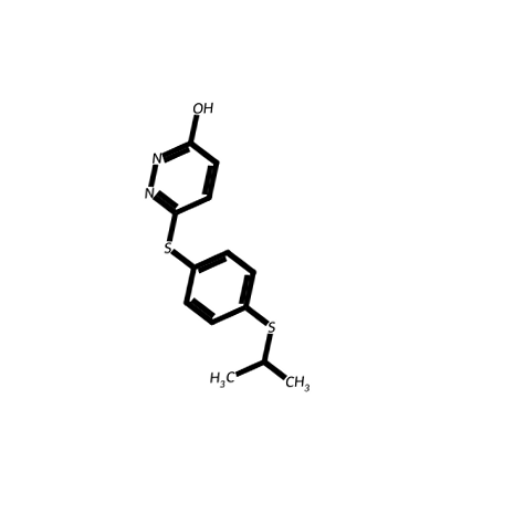 CC(C)Sc1ccc(Sc2ccc(O)nn2)cc1